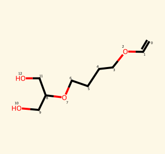 C=COCCCCOC(CO)CO